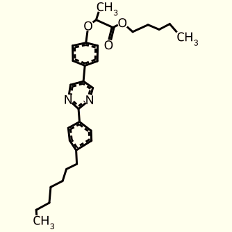 CCCCCCCc1ccc(-c2ncc(-c3ccc(OC(C)C(=O)OCCCCC)cc3)cn2)cc1